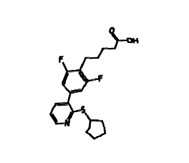 O=C(O)CCCCc1c(F)cc(-c2cccnc2SC2CCCC2)cc1F